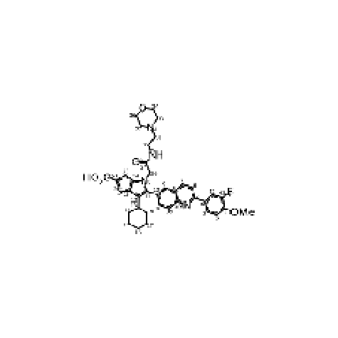 COc1ccc(-c2ccc3cc(-c4c(C5CCCCC5)c5sc(C(=O)O)cc5n4CC(=O)NCCN4CCOCC4)ccc3n2)cc1F